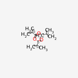 C=C(C)C.C=C(C)C(=O)OC(=O)C(=C)C